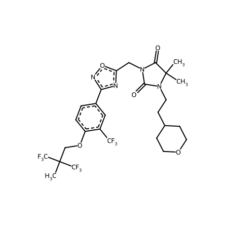 CC1(C)C(=O)N(Cc2nc(-c3ccc(OCC(C)(C(F)(F)F)C(F)(F)F)c(C(F)(F)F)c3)no2)C(=O)N1CCC1CCOCC1